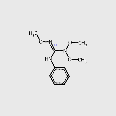 CO/N=C(\Nc1ccccc1)N(OC)OC